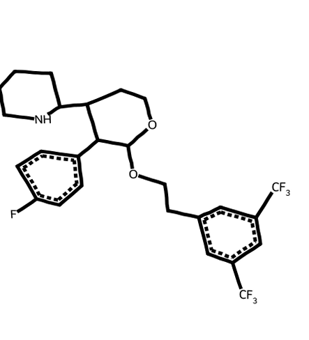 Fc1ccc(C2C(OCCc3cc(C(F)(F)F)cc(C(F)(F)F)c3)OCCC2C2CCCCN2)cc1